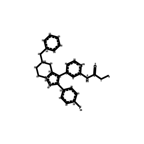 CCC(=O)Nc1cc(-c2c(-c3ccc(F)cc3)nn3c2CN(Cc2ccccc2)CC3)ccn1